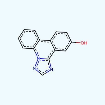 Oc1ccc2c3ccccc3n3ncnc3c2c1